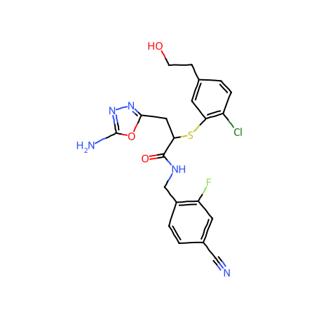 N#Cc1ccc(CNC(=O)C(Cc2nnc(N)o2)Sc2cc(CCO)ccc2Cl)c(F)c1